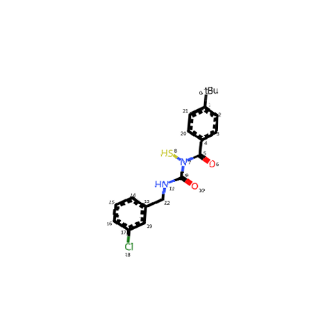 CC(C)(C)c1ccc(C(=O)N(S)C(=O)NCc2cccc(Cl)c2)cc1